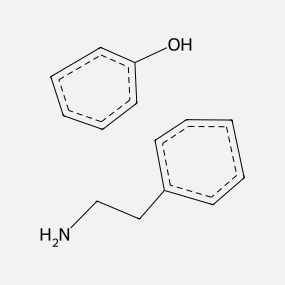 NCCc1ccccc1.Oc1ccccc1